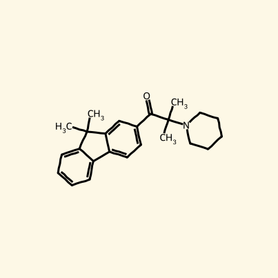 CC1(C)c2ccccc2-c2ccc(C(=O)C(C)(C)N3CCCCC3)cc21